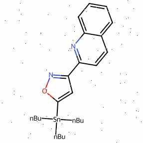 CCC[CH2][Sn]([CH2]CCC)([CH2]CCC)[c]1cc(-c2ccc3ccccc3n2)no1